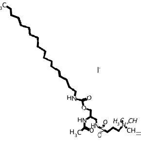 CCCCCCCCCCCCCCCCCCNC(=O)OCC(CNS(=O)(=O)CCC[N+](C)(C)C)NC(C)=O.[I-]